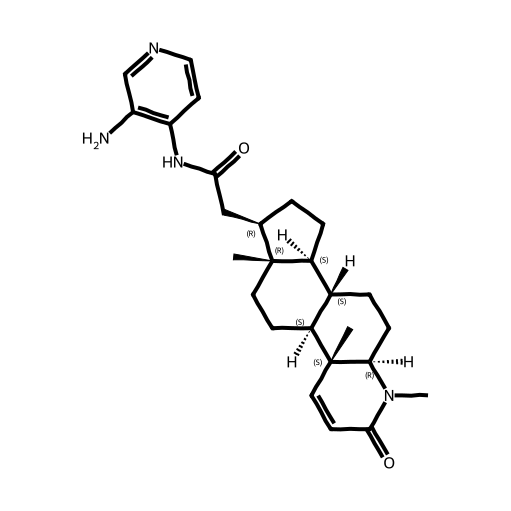 CN1C(=O)C=C[C@]2(C)[C@H]3CC[C@]4(C)[C@@H](CC(=O)Nc5ccncc5N)CC[C@H]4[C@@H]3CC[C@@H]12